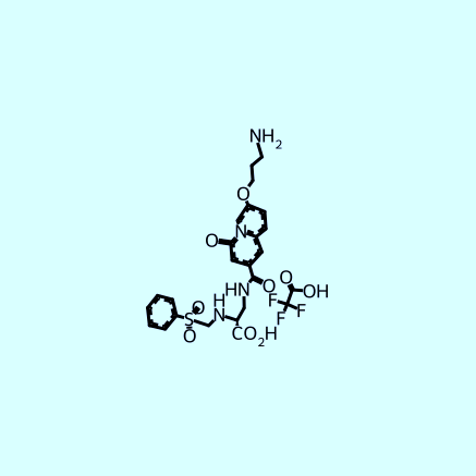 NCCCOc1ccc2cc(C(=O)NC[C@H](NCS(=O)(=O)c3ccccc3)C(=O)O)cc(=O)n2c1.O=C(O)C(F)(F)F